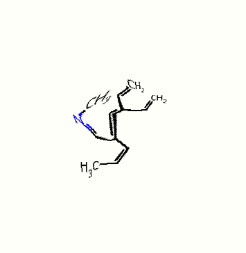 C=CC(C=C)=C(/C=C\C)/C=N\C